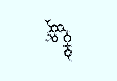 Cc1ccc(S(=O)(=O)N2CCC(Nc3ncc4cc(OC(F)F)c(=O)n([C@@H]5CCC[C@@]5(C)O)c4n3)CC2)nn1